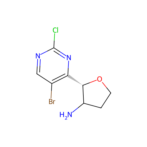 NC1CCO[C@H]1c1nc(Cl)ncc1Br